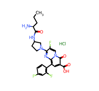 CCC[C@H](N)C(=O)NC1CCN(c2nc3c(-c4ccc(F)cc4F)cc(C(=O)O)c(=O)n3cc2F)C1.Cl